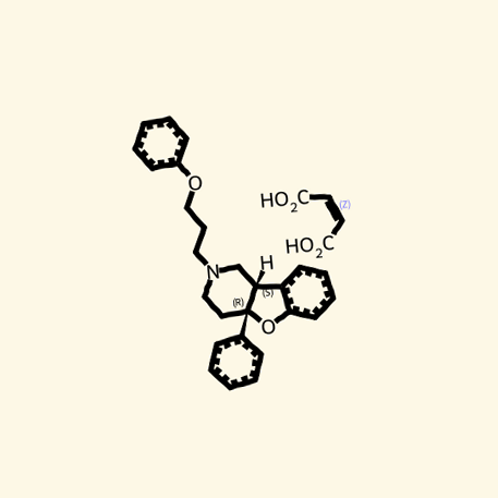 O=C(O)/C=C\C(=O)O.c1ccc(OCCCN2CC[C@@]3(c4ccccc4)Oc4ccccc4[C@H]3C2)cc1